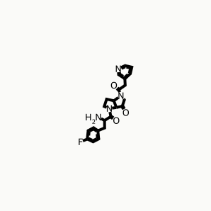 NC(Cc1ccc(F)cc1)C(=O)N1CCC2C1C(=O)CN2C(=O)Cc1cccnc1